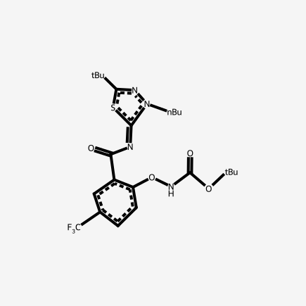 CCCCn1nc(C(C)(C)C)s/c1=N\C(=O)c1cc(C(F)(F)F)ccc1ONC(=O)OC(C)(C)C